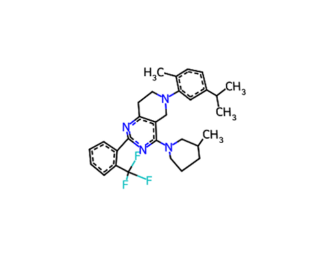 Cc1ccc(C(C)C)cc1N1CCc2nc(-c3ccccc3C(F)(F)F)nc(N3CCCC(C)C3)c2C1